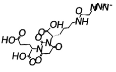 [N-]=[N+]=NCC(=O)NCCCC[C@@H](C(=O)O)N1C(=O)CC(=O)N(C(CCC(=O)O)C(=O)O)C1=O